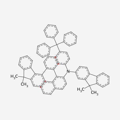 CC1(C)c2ccccc2-c2ccc(N(c3ccc(C(c4ccccc4)(c4ccccc4)c4ccccc4)cc3)c3ccc4ccccc4c3-c3ccccc3-c3cccc4c3-c3ccccc3C4(C)C)cc21